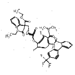 CCOC(=O)C(COC(=O)Oc1c(F)cc(NC(=O)c2ccccc2-c2ccc(C(F)(F)F)cc2)c(C(=O)N(C)C)c1F)(C(=O)OCC)c1ccccn1